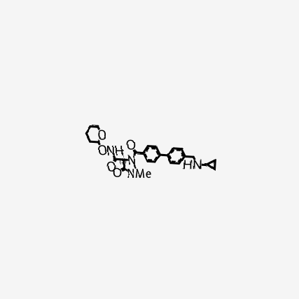 CNC(=O)[C@@](C)(C(=O)NOC1CCCCO1)N(C)C(=O)c1ccc(-c2ccc(CNC3CC3)cc2)cc1